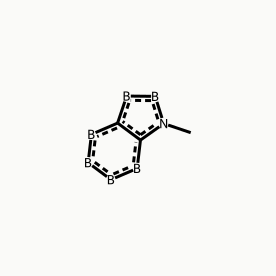 Cn1bbc2bbbbc21